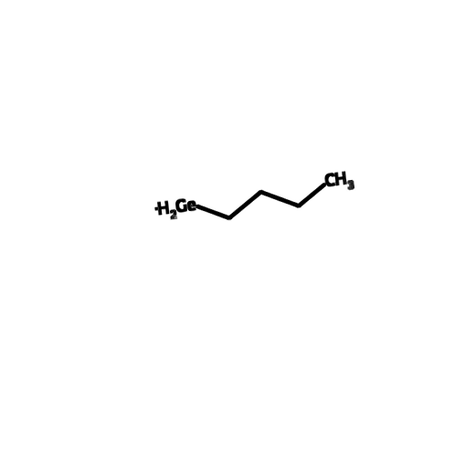 CCC[CH2][GeH2]